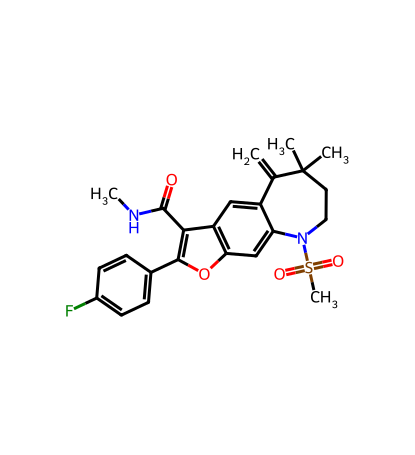 C=C1c2cc3c(C(=O)NC)c(-c4ccc(F)cc4)oc3cc2N(S(C)(=O)=O)CCC1(C)C